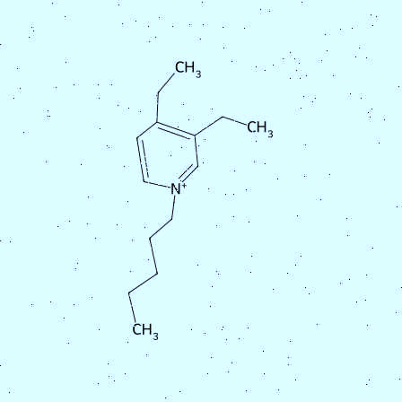 CCCCC[n+]1ccc(CC)c(CC)c1